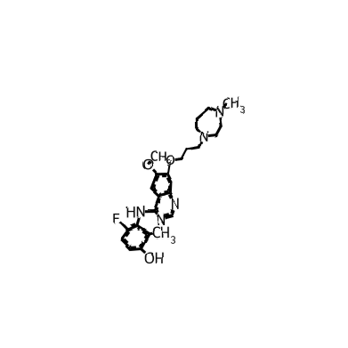 COc1cc2c(Nc3c(F)ccc(O)c3C)ncnc2cc1OCCCN1CCCN(C)CC1